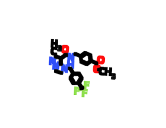 COC(=O)c1ccc(CNC(=O)c2c(C)nn3c2N(Cc2ccc(C(F)(F)F)cc2)CC3)cc1